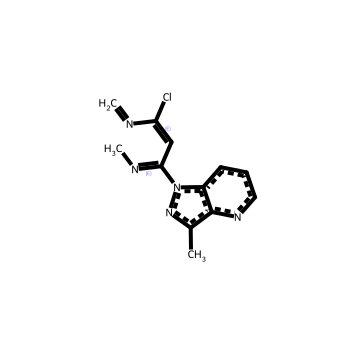 C=N/C(Cl)=C\C(=N/C)n1nc(C)c2ncccc21